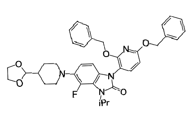 CC(C)n1c(=O)n(-c2ccc(OCc3ccccc3)nc2OCc2ccccc2)c2ccc(N3CCC(C4OCCO4)CC3)c(F)c21